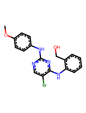 COc1ccc(Nc2ncc(Br)c(Nc3ccccc3CO)n2)cc1